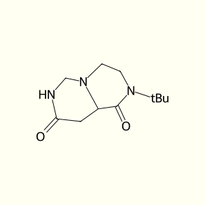 CC(C)(C)N1CCN2CNC(=O)CC2C1=O